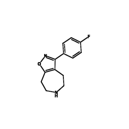 Fc1ccc(-c2noc3c2CCNCC3)cc1